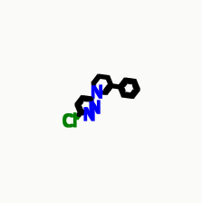 Clc1ccc(N2C=C(c3ccccc3)CCC2)nn1